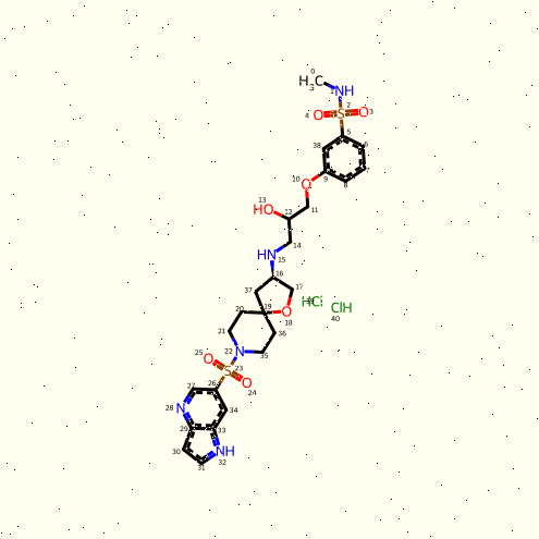 CNS(=O)(=O)c1cccc(OCC(O)CN[C@H]2COC3(CCN(S(=O)(=O)c4cnc5cc[nH]c5c4)CC3)C2)c1.Cl.Cl